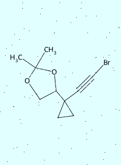 CC1(C)OCC(C2(C#CBr)CC2)O1